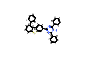 c1ccc(C2=NC(c3ccc4c(c3)sc3cccc(-c5ccccc5)c34)=NC(c3ccccc3)N2)cc1